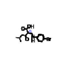 CC(C)CC(=O)/C(=C\Nc1ccc(Br)cc1)C(=O)O